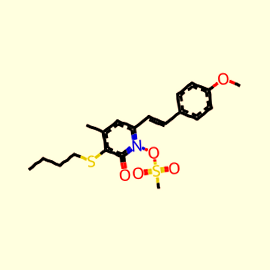 CCCCSc1c(C)cc(C=Cc2ccc(OC)cc2)n(OS(C)(=O)=O)c1=O